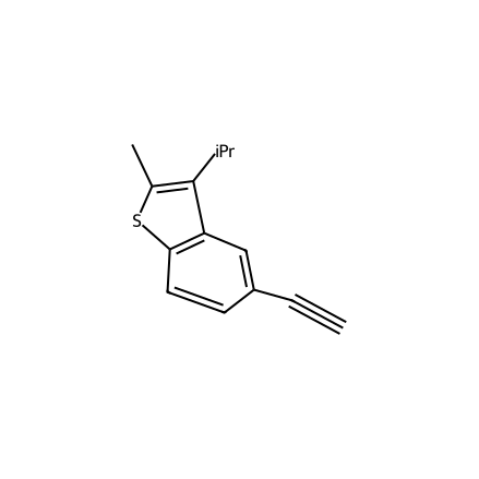 C#Cc1ccc2sc(C)c(C(C)C)c2c1